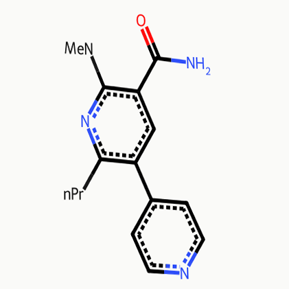 CCCc1nc(NC)c(C(N)=O)cc1-c1ccncc1